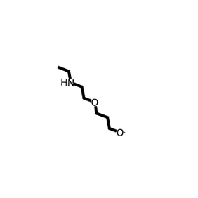 CCNCCOCCC[O]